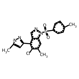 CC1=CC(c2c(Cl)c(C)cc3c2cnn3S(=O)(=O)c2ccc(C)cc2)=N[N]1